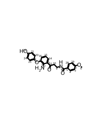 COc1ccc(C(=O)NCCC(=O)c2cccc(Oc3ccc(O)cc3)c2N)cc1